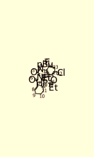 CCCCN(C(=O)NC(=O)C1=CCCCC1)c1cc(OC(CC)PCC)c(Cl)cc1F